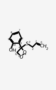 C=CCSC1(c2ccccc2O)COO1